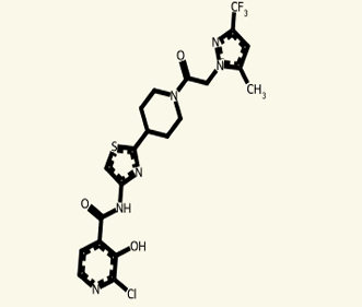 Cc1cc(C(F)(F)F)nn1CC(=O)N1CCC(c2nc(NC(=O)c3ccnc(Cl)c3O)cs2)CC1